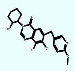 CSc1ccc(Cc2cc3c(=O)n(C4CCCCC4O)cnc3c(Cl)c2Cl)cn1